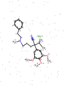 COc1cc(C(C#N)(CCCN(C)CCc2ccccc2)C(C)C)cc(OC)c1OC.Cl